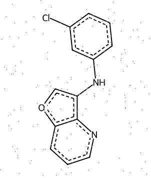 Clc1cccc(Nc2coc3cccnc23)c1